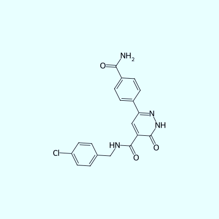 NC(=O)c1ccc(-c2cc(C(=O)NCc3ccc(Cl)cc3)c(=O)[nH]n2)cc1